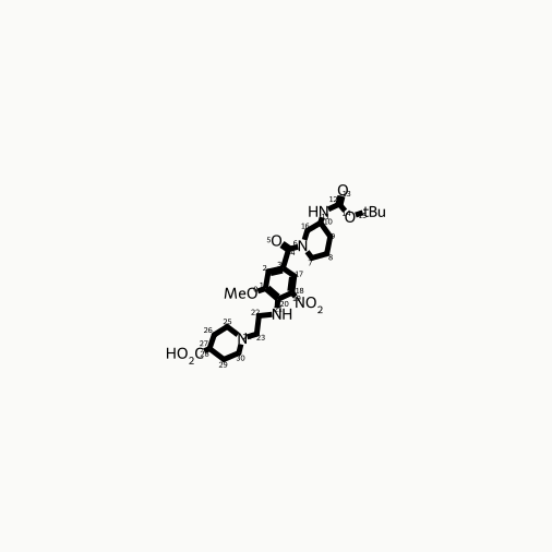 COc1cc(C(=O)N2CCCC(NC(=O)OC(C)(C)C)C2)cc([N+](=O)[O-])c1NCCN1CCC(C(=O)O)CC1